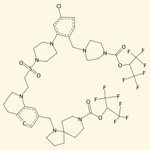 O=C(OC(C(F)(F)F)C(F)(F)F)N1CCN(Cc2ccc(Cl)cc2N2CCN(S(=O)(=O)CCN3CCCc4ccc(CN5CCCC56CCN(C(=O)OC(C(F)(F)F)C(F)(F)F)CC6)cc43)CC2)CC1